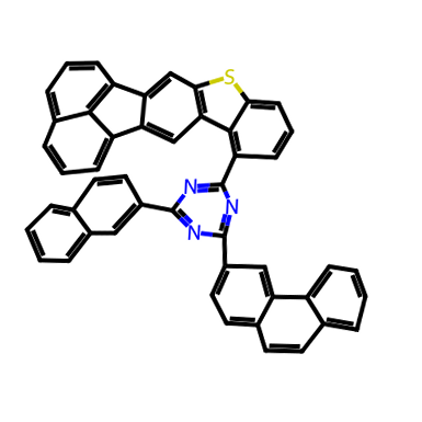 c1ccc2cc(-c3nc(-c4ccc5ccc6ccccc6c5c4)nc(-c4cccc5sc6cc7c(cc6c45)-c4cccc5cccc-7c45)n3)ccc2c1